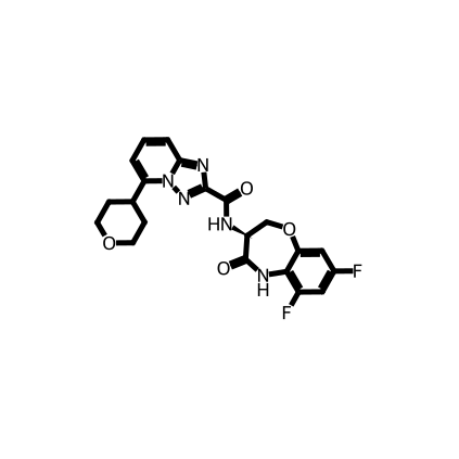 O=C(N[C@H]1COc2cc(F)cc(F)c2NC1=O)c1nc2cccc(C3CCOCC3)n2n1